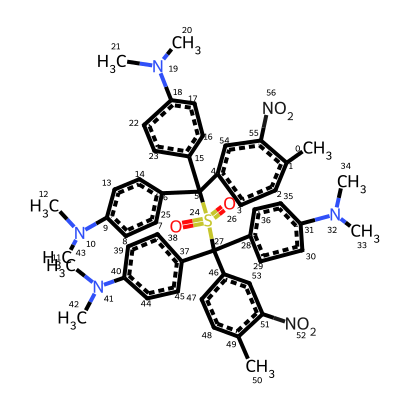 Cc1ccc(C(c2ccc(N(C)C)cc2)(c2ccc(N(C)C)cc2)S(=O)(=O)C(c2ccc(N(C)C)cc2)(c2ccc(N(C)C)cc2)c2ccc(C)c([N+](=O)[O-])c2)cc1[N+](=O)[O-]